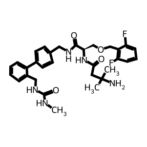 CNC(=O)NCc1ccccc1-c1ccc(CNC(=O)[C@@H](COCc2c(F)cccc2F)NC(=O)CC(C)(C)N)cc1